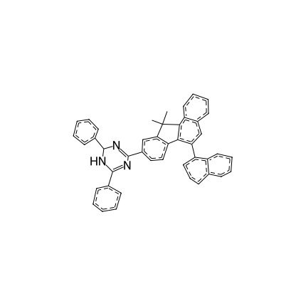 CC1(C)c2cc(C3=NC(c4ccccc4)NC(c4ccccc4)=N3)ccc2-c2c(-c3cccc4ccccc34)cc3ccccc3c21